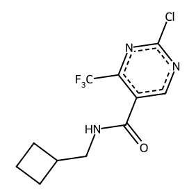 O=C(NCC1CCC1)c1cnc(Cl)nc1C(F)(F)F